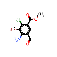 COC(=O)c1cc(C=O)c(N)c(Br)c1Cl